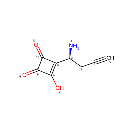 C#CC[C@H](N)c1c(O)c(=O)c1=O